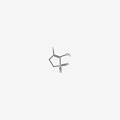 CC1=C(I)CCS1(=O)=O